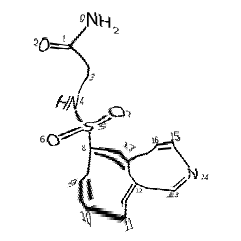 NC(=O)CNS(=O)(=O)c1cccc2cnccc12